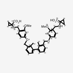 COc1nc(OCc2cccc(-c3cccc(COc4ccc(CNC5(C(=O)O)CC5)c(OC)n4)c3C)c2C)ccc1CNC1(C(=O)O)CC1